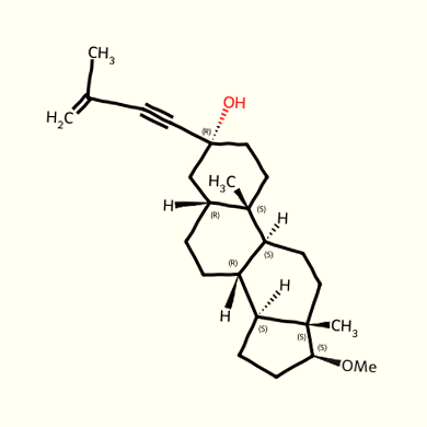 C=C(C)C#C[C@@]1(O)CC[C@@]2(C)[C@H](CC[C@@H]3[C@@H]2CC[C@]2(C)[C@@H](OC)CC[C@@H]32)C1